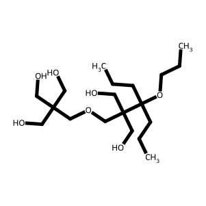 CCCOC(CCC)(CCC)C(CO)(CO)COCC(CO)(CO)CO